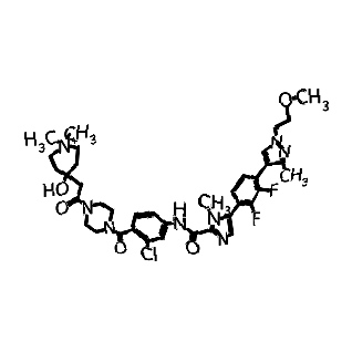 COCCn1cc(-c2ccc(-c3cnc(C(=O)Nc4ccc(C(=O)N5CCN(C(=O)CC6(O)CC[N+](C)(C)CC6)CC5)c(Cl)c4)n3C)c(F)c2F)c(C)n1